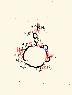 COC1C(=O)[C@H](C)CC(C)/C=C/C=C/C=C(\C)[C@@H](OC)C[C@@H]2CC[C@@H](C)[C@@](O)(O2)C(=O)C(=O)N2CCCCC2C(=O)O[C@H]([C@@H](C)C[C@@H]2CC[C@@H](OC(=O)C(C)(C)Br)[C@H](OC)C2)CC(=O)C(C)/C=C(\C)[C@H]1O